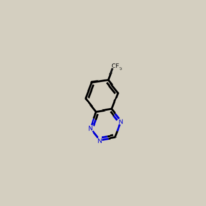 FC(F)(F)c1ccc2nn[c]nc2c1